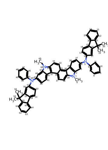 Cn1c2cc(N(c3ccccc3)c3ccc4c(c3)C(C)(C)c3ccccc3-4)ccc2c2c3ccc4c(c3ccc21)c1ccc(N(c2ccccc2)c2ccc3c(c2)C(C)(C)c2ccccc2-3)cc1n4C